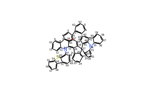 c1ccc(-c2ccc(-c3ccccc3N(c3cccc4c3-c3ccccc3C43c4ccccc4-n4c5ccccc5c5cccc3c54)c3cccc4c3sc3ccccc34)cc2)cc1